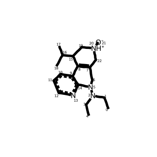 CCN(CC)N1CC2=C(c3cccnc31)C(C(C)C)C[NH+]([O-])C2